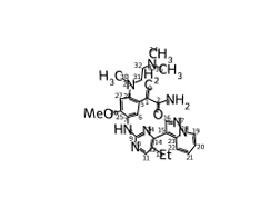 C=C(C(N)=O)c1cc(Nc2ncc(CC)c(-c3cnn4ccccc34)n2)c(OC)cc1N(C)CCN(C)C